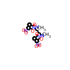 C/N=C(\CCCC/C(=N\C)N1C(=O)c2cccc3cc([N+](=O)[O-])cc(c23)C1=O)N1C(=O)c2cccc3cc([N+](=O)[O-])cc(c23)C1=O